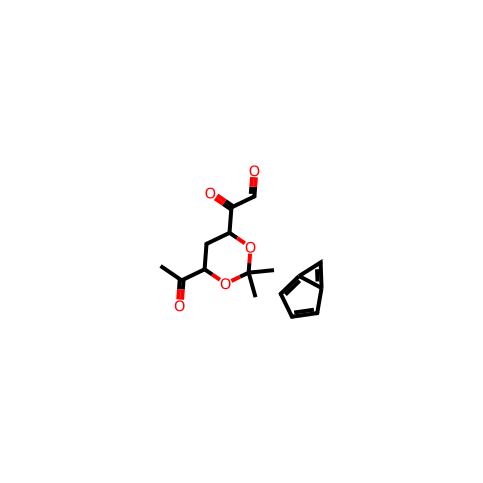 CC(=O)C1CC(C(=O)C=O)OC(C)(C)O1.c1cc2cc-2c1